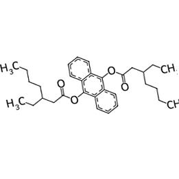 CCCCC(CC)CC(=O)Oc1c2ccccc2c(OC(=O)CC(CC)CCCC)c2ccccc12